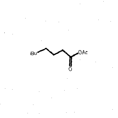 CCC(C)CCCC(=O)OC(C)=O